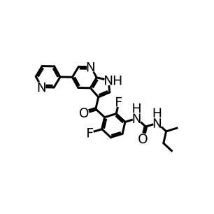 CCC(C)NC(=O)Nc1ccc(F)c(C(=O)c2c[nH]c3ncc(-c4cccnc4)cc23)c1F